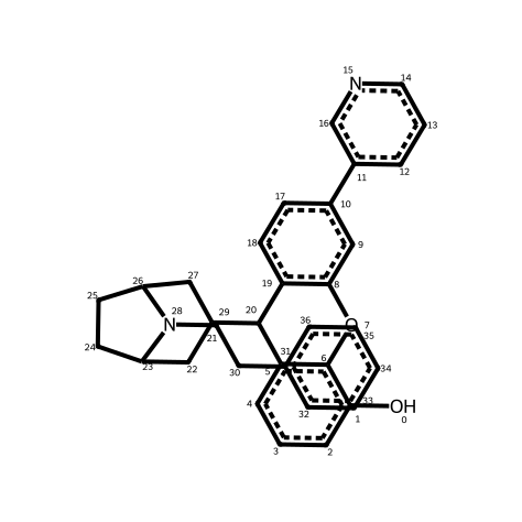 Oc1cccc2c1Oc1cc(-c3cccnc3)ccc1C2C1CC2CCC(C1)N2CCc1ccccc1